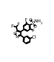 NS(=O)(=O)c1c(F)cc(-c2c(-c3cccc(Cl)c3)noc2C(F)F)cc1F